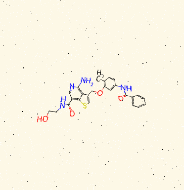 Cc1ccc(NC(=O)c2ccccc2)cc1OCc1csc2c(C(=O)NCCO)cnc(N)c12